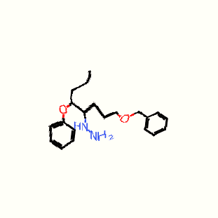 CCCC(Oc1ccccc1)C(CCCOCc1ccccc1)NN